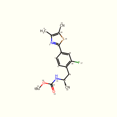 Cc1nc(-c2ccc(C[C@@H](C#N)NC(=O)OC(C)(C)C)c(F)c2)sc1C#N